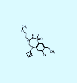 COCC[C@@H]1CN(C23CC(C2)C3)c2cc(Br)c(OC)cc2S(=O)(=O)N1